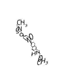 CCc1csc(COc2ccn(C3=Cc4ccc(CNCCOC)cc4CC3)c(=O)c2)n1